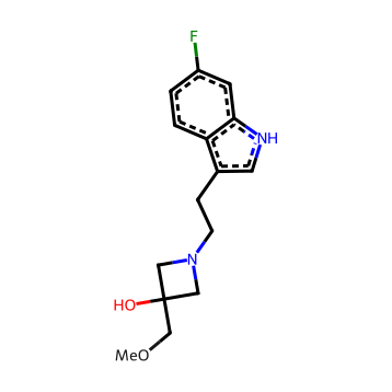 COCC1(O)CN(CCc2c[nH]c3cc(F)ccc23)C1